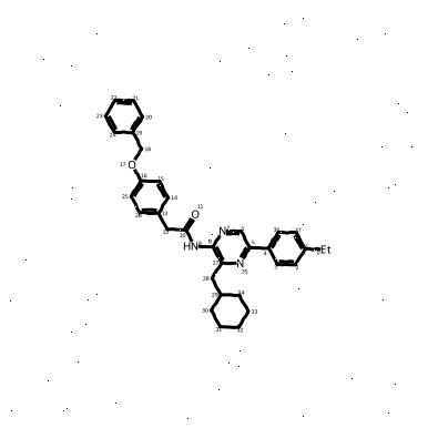 CCc1ccc(-c2cnc(NC(=O)Cc3ccc(OCc4ccccc4)cc3)c(CC3CCCCC3)n2)cc1